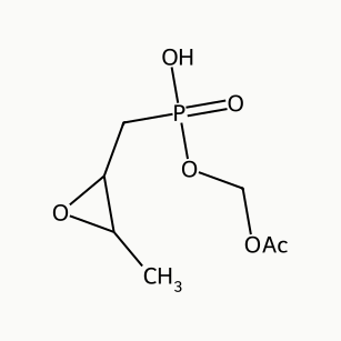 CC(=O)OCOP(=O)(O)CC1OC1C